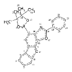 CC1(C)OB(c2cc3c4ccccc4oc3c3oc(-c4ccccc4)nc23)OC1(C)C